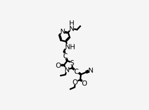 CCNc1cc(NC=C=c2sc(=C=C(C#N)C(=O)OCC)n(CC)c2=O)ccn1